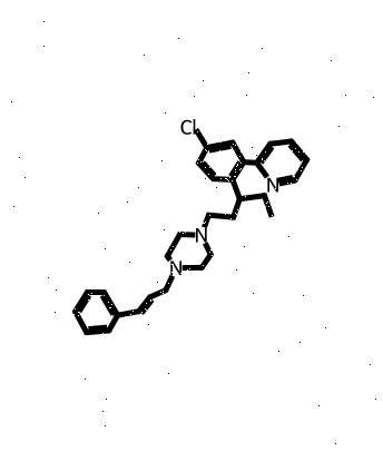 CCC(CCN1CCN(CC=Cc2ccccc2)CC1)c1ccc(Cl)cc1-c1ccccn1